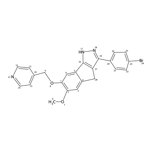 COc1cc2c(cc1OCc1ccncc1)-c1[nH]nc(-c3ccc(Br)cc3)c1C2